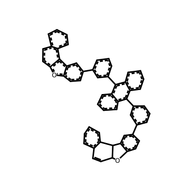 C1=CC2Oc3ccc(-c4cccc(-c5c6ccccc6c(-c6cccc(-c7ccc8oc9ccc%10ccccc%10c9c8c7)c6)c6ccccc56)c4)cc3C2c2ccccc21